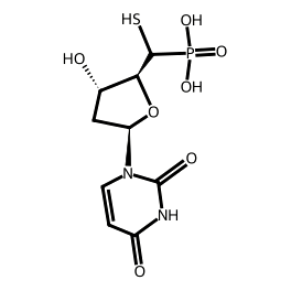 O=c1ccn([C@H]2C[C@H](O)[C@@H](C(S)P(=O)(O)O)O2)c(=O)[nH]1